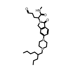 CCCCC(CCC)CN1CCN(c2ccc3c(c2)CN(C(CCC=O)C(=O)NC)C3=O)CC1